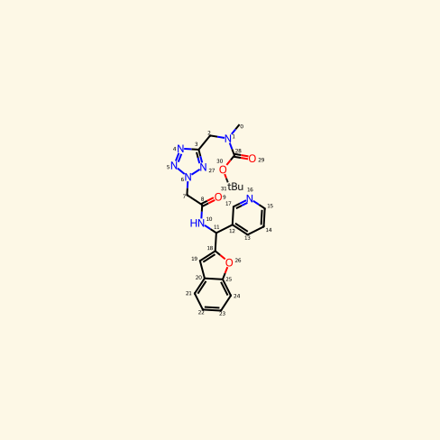 CN(Cc1nnn(CC(=O)NC(c2cccnc2)c2cc3ccccc3o2)n1)C(=O)OC(C)(C)C